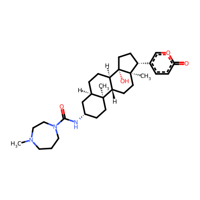 CN1CCCN(C(=O)N[C@H]2CC[C@@]3(C)[C@H](CC[C@@H]4[C@@H]3CC[C@]3(C)[C@@H](c5ccc(=O)oc5)CC[C@]43O)C2)CC1